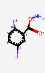 NOC(=O)c1cc(I)ccc1I